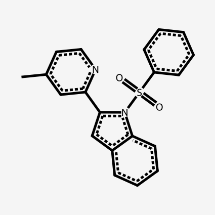 Cc1ccnc(-c2cc3ccccc3n2S(=O)(=O)c2ccccc2)c1